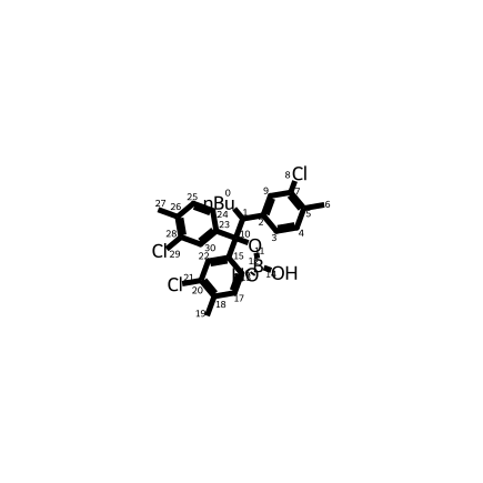 CCCCC(c1ccc(C)c(Cl)c1)C(OB(O)O)(c1ccc(C)c(Cl)c1)c1ccc(C)c(Cl)c1